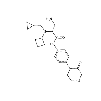 NC[C@H](C(=O)Nc1ccc(N2CCOCC2=O)cc1)N(CC1CC1)C1CCC1